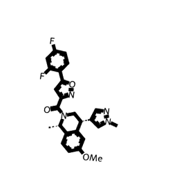 COc1ccc2c(c1)[C@@H](c1cnn(C)c1)CN(C(=O)c1cc(-c3ccc(F)cc3F)on1)[C@H]2C